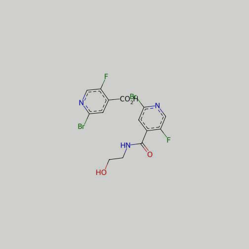 O=C(NCCO)c1cc(Br)ncc1F.O=C(O)c1cc(Br)ncc1F